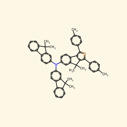 Cc1ccc(-c2sc(-c3ccc(C)cc3)c3c2-c2ccc(N(c4ccc5c(c4)C(C)(C)c4ccccc4-5)c4ccc5c(c4)C(C)(C)c4ccccc4-5)cc2C3(C)C)cc1